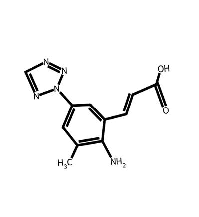 Cc1cc(-n2ncnn2)cc(/C=C/C(=O)O)c1N